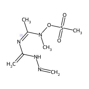 C=NNC(=C)/N=C(/C)N(C)OS(C)(=O)=O